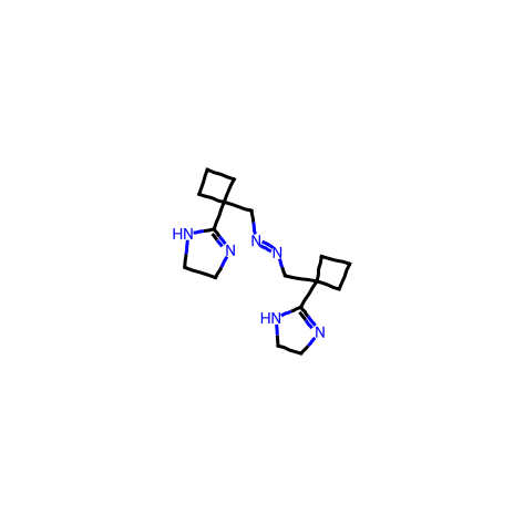 C1CC(CN=NCC2(C3=NCCN3)CCC2)(C2=NCCN2)C1